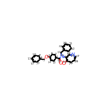 O=C(c1ccc(OCc2ccccc2)cc1)N(Cc1ccccc1)c1cncccc1=O